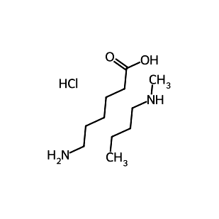 CCCCNC.Cl.NCCCCCC(=O)O